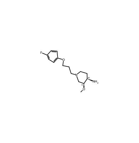 CO[C@H]1CN(CCCOc2ccc(F)cc2)CC[C@H]1N